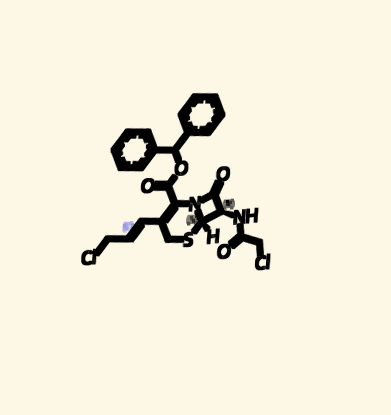 O=C(CCl)N[C@@H]1C(=O)N2C(C(=O)OC(c3ccccc3)c3ccccc3)=C(/C=C/CCl)CS[C@@H]12